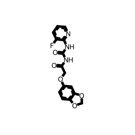 O=C(COc1ccc2c(c1)OCO2)NC(=O)Nc1ncccc1F